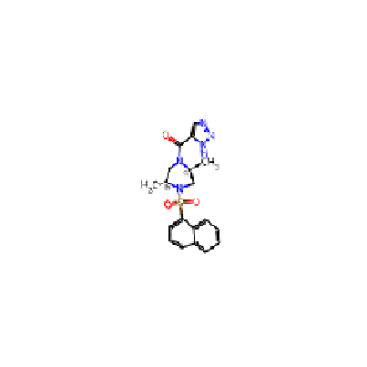 C[C@@H]1CN(C(=O)c2cnn[nH]2)[C@@H](C)CN1S(=O)(=O)c1cccc2ccccc12